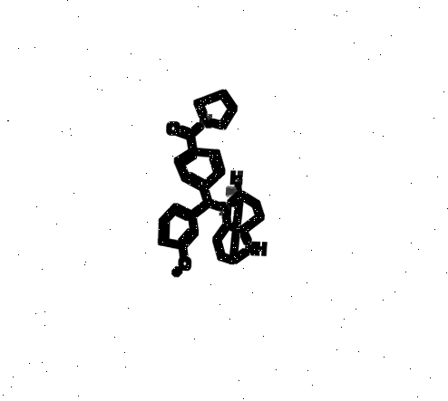 COc1cccc(C(c2ccc(C(=O)N3CCCC3)cc2)N2C3CCC4NC3CC[C@@H]42)c1